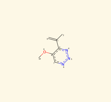 C=C(C)c1nnncc1OC